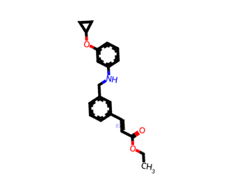 CCOC(=O)/C=C/c1cccc(CNc2cccc(OC3CC3)c2)c1